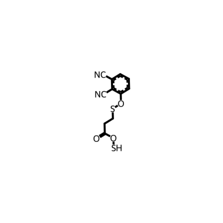 N#Cc1cccc(OSCCC(=O)OS)c1C#N